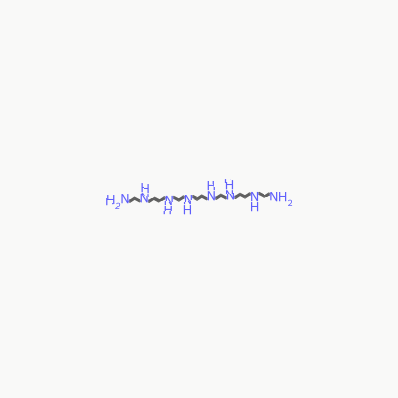 NCCCNCCCCNCCCNCCCCNCCCNCCCCNCCCN